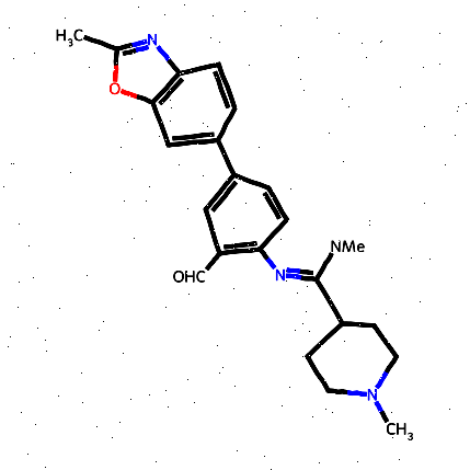 CN/C(=N\c1ccc(-c2ccc3nc(C)oc3c2)cc1C=O)C1CCN(C)CC1